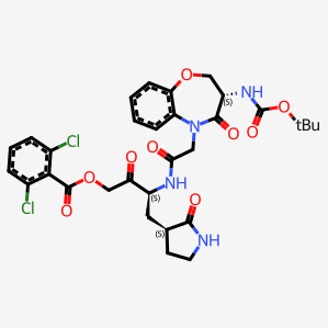 CC(C)(C)OC(=O)N[C@H]1COc2ccccc2N(CC(=O)N[C@@H](C[C@@H]2CCNC2=O)C(=O)COC(=O)c2c(Cl)cccc2Cl)C1=O